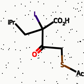 CC(=O)SCC(=O)C(I)(CC(C)C)C(=O)O